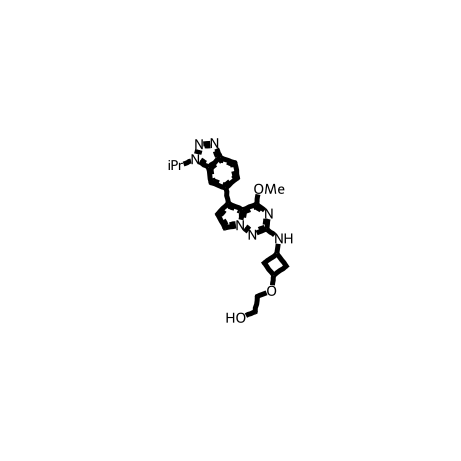 COc1nc(NC2CC(OCCO)C2)nn2ccc(-c3ccc4nnn(C(C)C)c4c3)c12